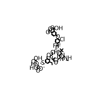 CCNc1nc(Cl)nc(NC(C)(C)C)n1.CCc1cccc(C)c1N(C(=O)CCl)C(C)COC.C[S+](C)C.O=C(O)CNCP(=O)([O-])O.O=C(O)c1cc(Oc2ccc(C(F)(F)F)cc2Cl)ccc1[N+](=O)[O-]